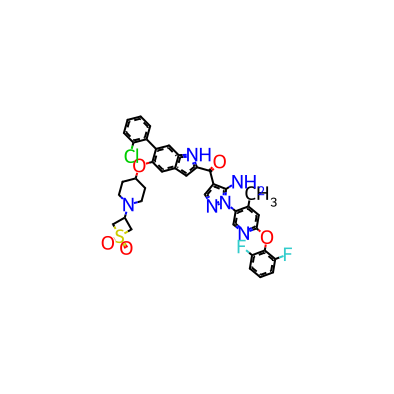 Cc1cc(Oc2c(F)cccc2F)ncc1-n1ncc(C(=O)c2cc3cc(OC4CCN(C5CS(=O)(=O)C5)CC4)c(-c4ccccc4Cl)cc3[nH]2)c1N